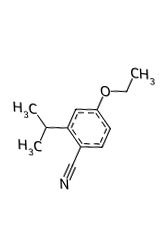 CCOc1ccc(C#N)c(C(C)C)c1